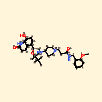 COc1ccccc1CNC(=O)CCN1CCC(NC[C@H](O[Si](C)(C)C(C)(C)C)c2ccc(O)c3[nH]c(=O)ccc23)CC1